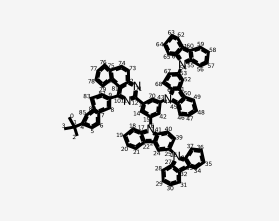 CC(C)(C)c1ccc2cc(-c3nc(-c4cc(-n5c6ccccc6c6cc(-n7c8ccccc8c8ccccc87)ccc65)cc(-n5c6ccccc6c6cc(-n7c8ccccc8c8ccccc87)ccc65)c4)nc4ccc5ccccc5c34)ccc2c1